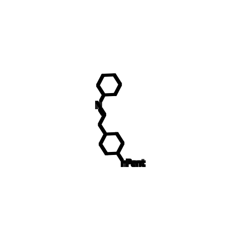 CCCCCC1CCC(CC=NC2CCCCC2)CC1